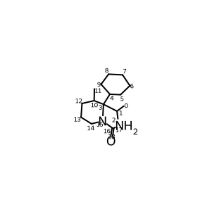 CC(C)C1(C2CCCCC2)C(C)CCCN1C(N)=O